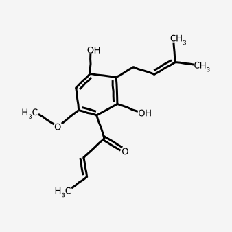 C/C=C/C(=O)c1c(OC)cc(O)c(CC=C(C)C)c1O